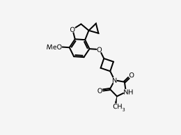 COc1ccc(OC2CC(N3C(=O)N[C@@H](C)C3=O)C2)c2c1OCC21CC1